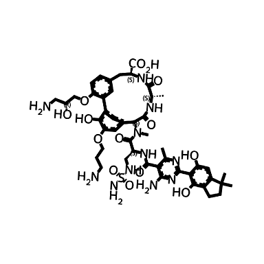 Cc1nc(-c2c(O)cc3c(c2O)CCC3(C)C)nc(N)c1C(=O)N[C@@H](CNS(N)(=O)=O)C(=O)N(C)[C@@H]1C(=O)N[C@@H](C)C(=O)N[C@H](C(=O)O)Cc2ccc(OC[C@H](O)CN)c(c2)-c2cc1cc(OCCCN)c2O